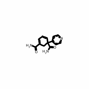 NC(=O)C1=CC=CC(C(N)=O)(c2ccncc2)C1